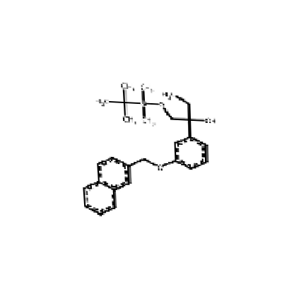 CCC(O)(CO[Si](C)(C)C(C)(C)C)c1cccc(OCc2ccc3ccccc3c2)c1